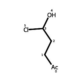 CC(=O)CCC(O)Cl